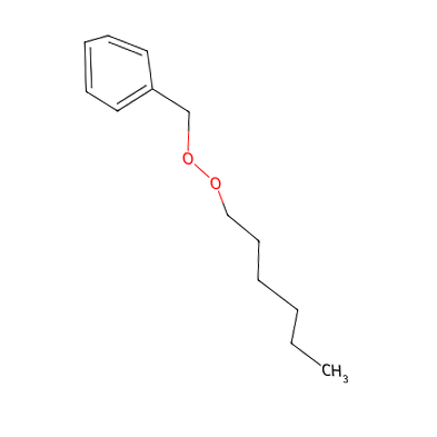 CCCCCCOOCc1ccccc1